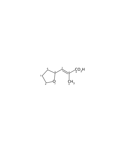 C/C(=C\C1CCCO1)C(=O)O